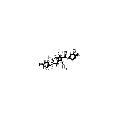 Cc1c(C(=O)Nc2ccc(F)c(Cl)c2)c(C)n(C)c1C(=O)C(=O)Nc1ccc(F)nc1